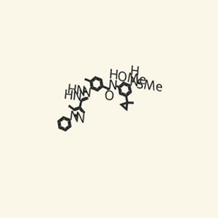 COc1c(NSC)cc(C2(C)CC2)cc1NC(=O)c1ccc(C)c(N2C=C(c3cnn(-c4ccccc4)c3C)NN2)c1